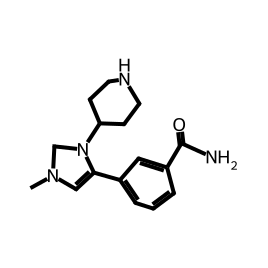 CN1C=C(c2cccc(C(N)=O)c2)N(C2CCNCC2)C1